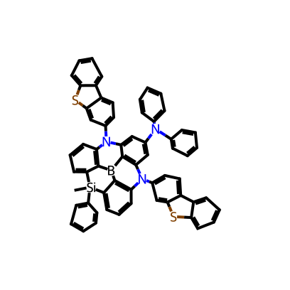 C[Si]1(c2ccccc2)c2cccc3c2B2c4c(cc(N(c5ccccc5)c5ccccc5)cc4N(c4ccc5c(c4)sc4ccccc45)c4cccc1c42)N3c1ccc2c(c1)sc1ccccc12